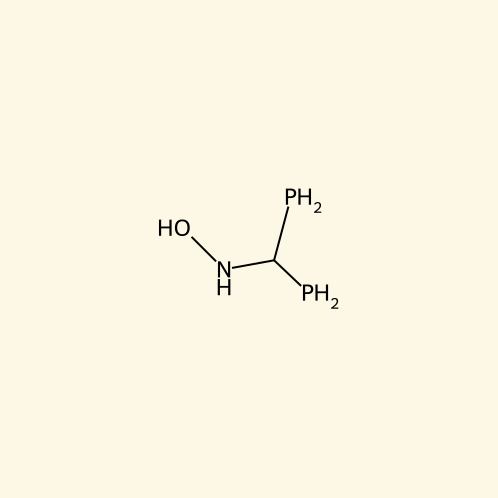 ONC(P)P